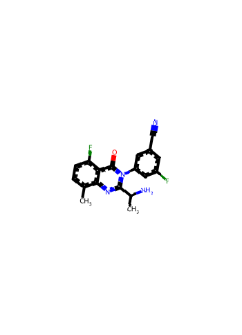 Cc1ccc(F)c2c(=O)n(-c3cc(F)cc(C#N)c3)c(C(C)N)nc12